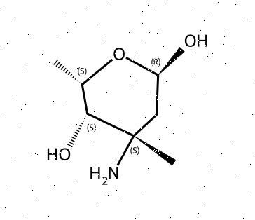 C[C@@H]1O[C@@H](O)C[C@](C)(N)[C@@H]1O